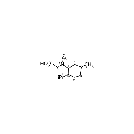 CC(=O)N(CC(=O)O)C1CC(C)CCC1C(C)C